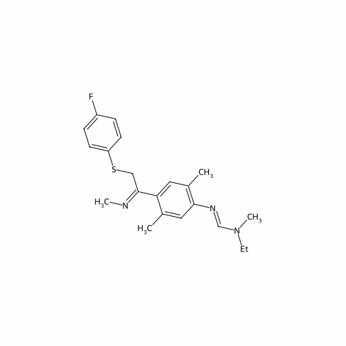 CCN(C)C=Nc1cc(C)c(C(CSc2ccc(F)cc2)=NC)cc1C